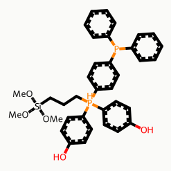 CO[Si](CCC[PH](c1ccc(O)cc1)(c1ccc(O)cc1)c1ccc(P(c2ccccc2)c2ccccc2)cc1)(OC)OC